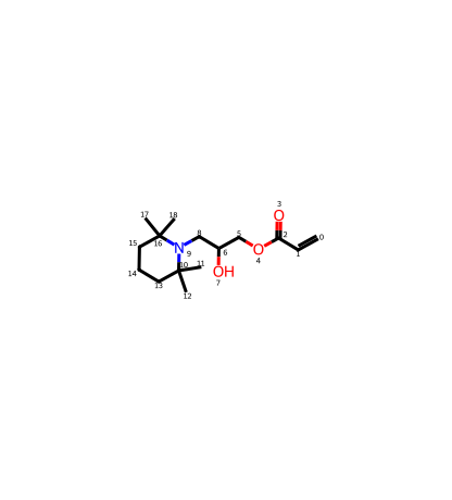 C=CC(=O)OCC(O)CN1C(C)(C)CCCC1(C)C